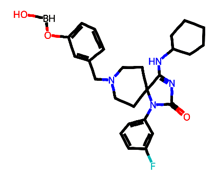 O=C1N=C(NC2CCCCC2)C2(CCN(Cc3cccc(OBO)c3)CC2)N1c1cccc(F)c1